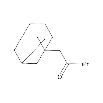 CC(C)C(=O)CC12CC3CC(CC(C3)C1)C2